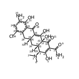 CN(C)[C@@H]1C(O)=C(C(N)=O)C(=O)[C@@]2(O)C(O)=C3C(=O)c4c(O)c(N)nc(Cl)c4C[C@H]3C[C@@H]12